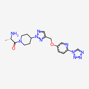 C[C@H](N)C(=O)N1CCC(n2ncc(COc3ccc(-n4cnnn4)nc3)n2)CC1